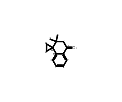 CC1(C)CC(=O)c2ccccc2C12CC2